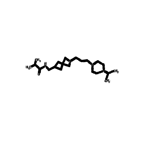 CC(C)C(=O)NCC1CC2(C1)CN(CCCN1CCN(C(C)C)CC1)C2